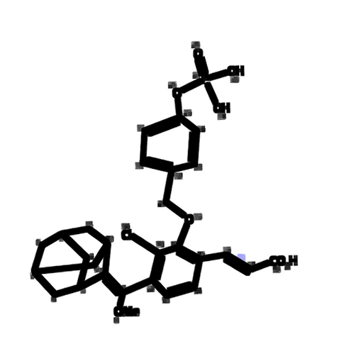 COC(=C1C2CC3CC(C2)CC1C3)c1ccc(/C=C/C(=O)O)c(OCc2ccc(OP(=O)(O)O)cc2)c1Cl